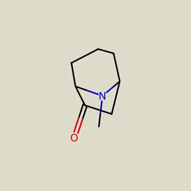 CN1C2CCCC1C(=O)C2